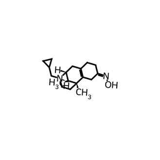 C[C@@H]1[C@H]2CC3=C(CC(=NO)CC3)[C@]1(C)CCN2CC1CC1